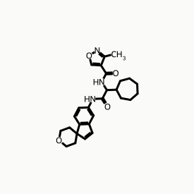 Cc1nocc1C(=O)NC(C(=O)Nc1ccc2c(c1)C=CC21CCOCC1)C1CCCCCC1